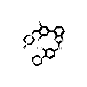 Cc1cc(Nc2nc3cccc(-c4cc(F)c(CN5CC[S+]([O-])CC5)c(F)c4)c3o2)ccc1N1CCOCC1